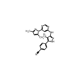 Cc1cc(C)n(-c2cc(Nc3n[nH]c(-c4ccc(C#N)cc4)c3C)ncn2)n1